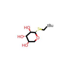 CC(C)(C)CS[C@@H]1OC[C@@H](O)[C@H](O)[C@H]1O